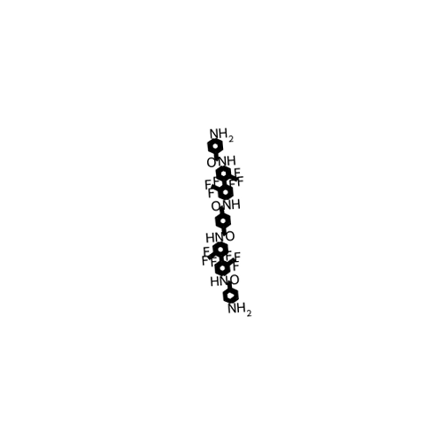 NC1=CC=C(C(=O)Nc2ccc(-c3ccc(NC(=O)c4ccc(C(=O)Nc5ccc(-c6ccc(NC(=O)c7ccc(N)cc7)cc6C(F)(F)F)c(C(F)(F)F)c5)cc4)cc3C(F)(F)F)c(C(F)(F)F)c2)CC1